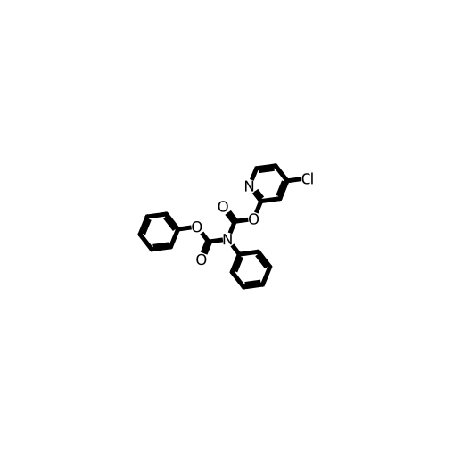 O=C(Oc1ccccc1)N(C(=O)Oc1cc(Cl)ccn1)c1ccccc1